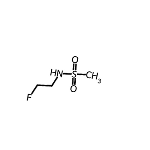 CS(=O)(=O)NCCF